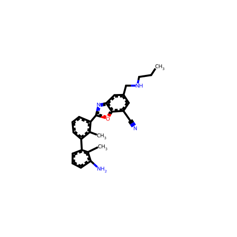 CCCNCc1cc(C#N)c2oc(-c3cccc(-c4cccc(N)c4C)c3C)nc2c1